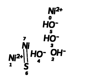 [Ni+2].[Ni+2].[OH-].[OH-].[OH-].[OH-].[S]=[Ni]